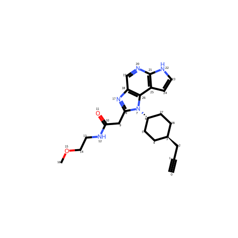 C#CC[C@H]1CC[C@H](n2c(CC(=O)NCCOC)nc3cnc4[nH]ccc4c32)CC1